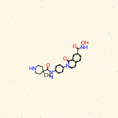 CC1(C(=O)Nc2ccc(-n3ccc4ccc(C(=O)NO)cc4c3=O)cc2)CCNCC1